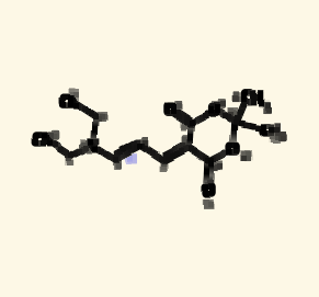 [C-]#[N+]CN(/C=C/C=C1C(=O)OC(C)(C)OC1=O)C[N+]#[C-]